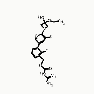 CCOC1(O)CN(c2ncc(-c3cccc(COC(=O)NC(=N)N)c3F)cc2F)C1